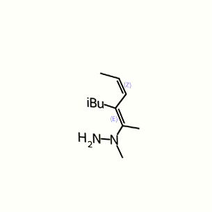 C/C=C\C(=C(/C)N(C)N)C(C)CC